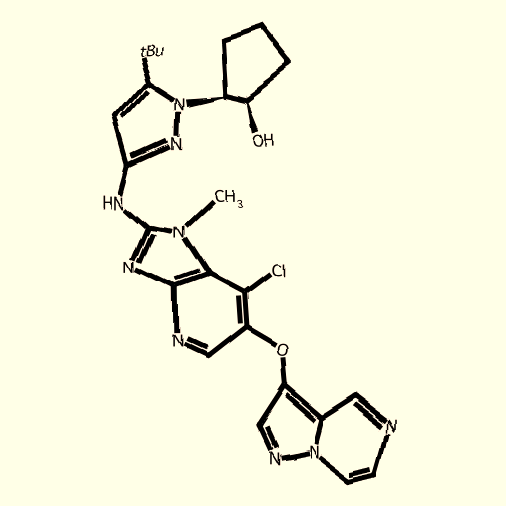 Cn1c(Nc2cc(C(C)(C)C)n([C@H]3CCC[C@H]3O)n2)nc2ncc(Oc3cnn4ccncc34)c(Cl)c21